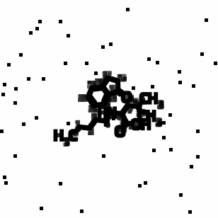 CCCCCNC(CC(C)C)C(=O)O.O=C1CCc2ccccc21